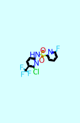 O=S(=O)(Nc1ccc(C(F)(F)F)c(Cl)n1)c1cccc(F)n1